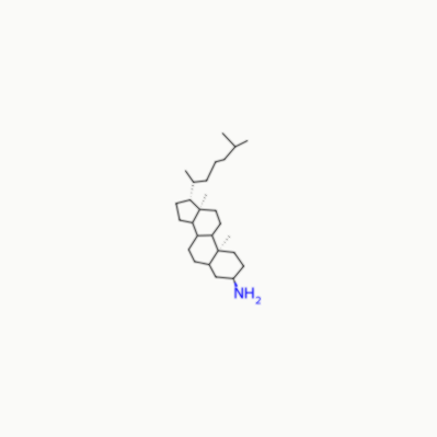 CC(C)CCCC(C)[C@H]1CCC2C3CCC4C[C@H](N)CC[C@]4(C)C3CC[C@@]21C